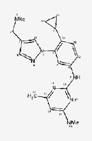 CNCc1cnn(-c2cc(Nc3nc(C)cc(NC)n3)ccc2C2CC2)c1